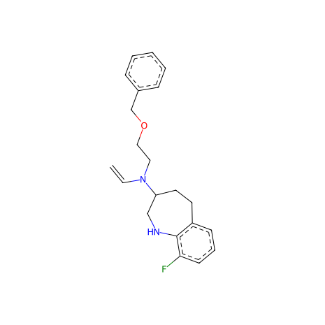 C=CN(CCOCc1ccccc1)C1CCc2cccc(F)c2NC1